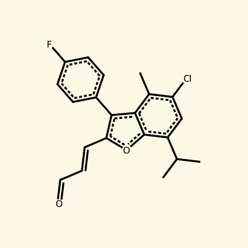 Cc1c(Cl)cc(C(C)C)c2oc(/C=C/C=O)c(-c3ccc(F)cc3)c12